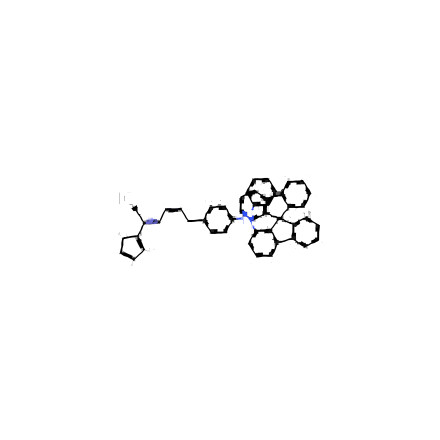 C#C/C(=C\C=C/Cc1ccc(N(c2ccccc2)c2cccc3c2C2(c4ccccc4-c4ccccc42)c2ccccc2-3)cc1)C1=CC=CC1